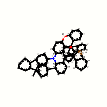 CC1(C)c2ccccc2-c2ccc(N(c3ccc4c(c3)C3(c5ccccc5O4)c4ccccc4-c4ccccc43)c3c(-c4ccccc4)cccc3-c3cccc4sc5ccccc5c34)cc21